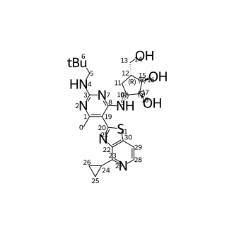 Cc1nc(NCC(C)(C)C)nc(N[C@@H]2C[C@H](CO)[C@@H](O)[C@H]2O)c1-c1nc2c(C3CC3)nccc2s1